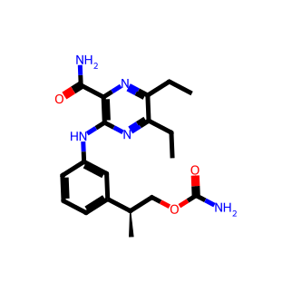 CCc1nc(Nc2cccc([C@H](C)COC(N)=O)c2)c(C(N)=O)nc1CC